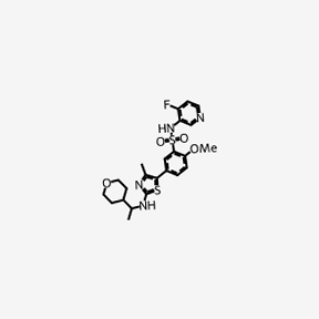 COc1ccc(-c2sc(NC(C)C3CCOCC3)nc2C)cc1S(=O)(=O)Nc1cnccc1F